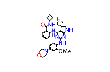 COc1cc(N2CCOCC2)ccc1Nc1nc2c(c(Nc3ccccc3C(=O)NC3CCC3)n1)[C@H](C)CN2